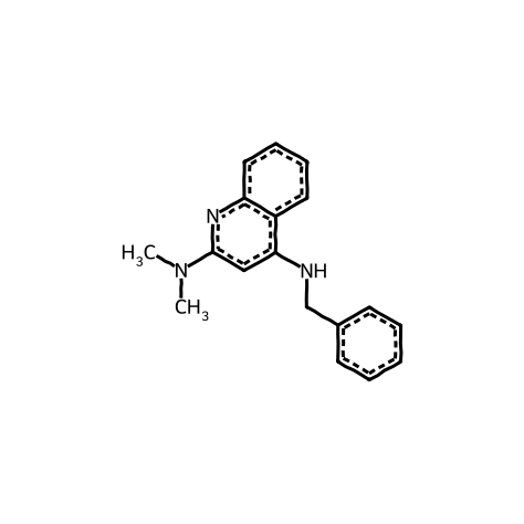 CN(C)c1cc(NCc2ccccc2)c2ccccc2n1